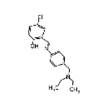 CCN(CC)Cc1ccc(N=Cc2cc(Cl)ccc2O)cc1